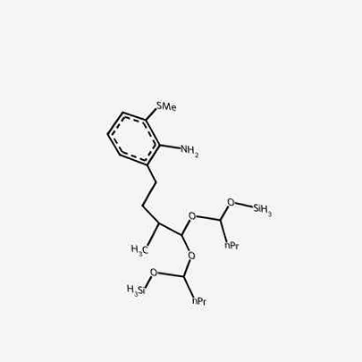 CCCC(O[SiH3])OC(OC(CCC)O[SiH3])C(C)CCc1cccc(SC)c1N